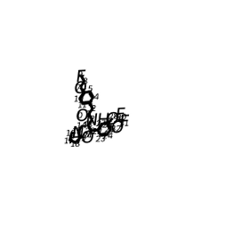 O=C(Cc1ccc(OCF)cc1)N[C@H](CN1CCCC1)[C@H](O)c1ccc2c(c1)OC(F)(F)O2